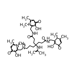 C=C(C)NC(CCCNCc1c(O)c(=O)cc(C)n1C)(CCC(=O)NCC1=C(O)C(=O)C=C(C)C1C)CCC(=O)NCc1c(O)c(=O)cc(C)n1C